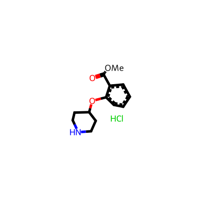 COC(=O)c1ccccc1OC1CCNCC1.Cl